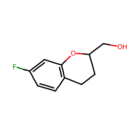 OCC1CCc2ccc(F)cc2O1